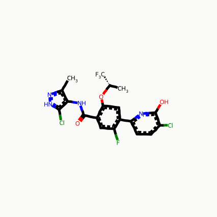 Cc1n[nH]c(Cl)c1NC(=O)c1cc(F)c(-c2ccc(Cl)c(O)n2)cc1O[C@@H](C)C(F)(F)F